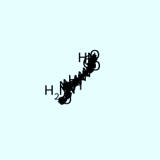 Nc1ncnc2c1c(-c1ccc(Oc3ccccc3)cc1)nn2C1C[C@@H]2CN(C3CN(C4CN(c5ccc6c(c5)C(=O)N(C5CCC(=O)NC5=O)C6=O)C4)C3)C[C@@H]2C1